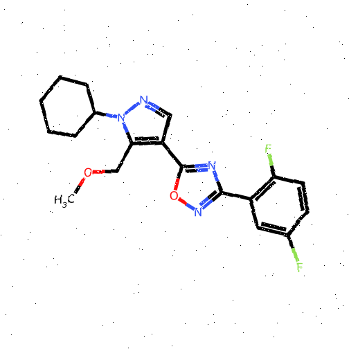 COCc1c(-c2nc(-c3cc(F)ccc3F)no2)cnn1C1CCCCC1